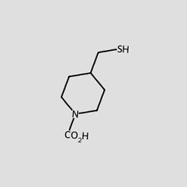 O=C(O)N1CCC(CS)CC1